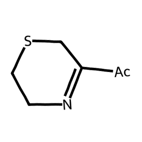 CC(=O)C1=NCCSC1